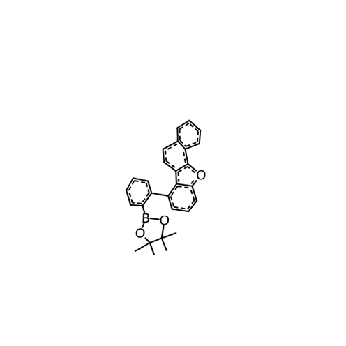 CC1(C)OB(c2ccccc2-c2cccc3oc4c5ccccc5ccc4c23)OC1(C)C